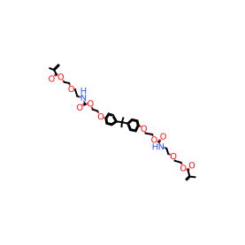 C=C(C)C(=O)OCCOCCNC(=O)OCCOc1ccc(C(C)(C)c2ccc(OCCOC(=O)NCCOCCOC(=O)C(=C)C)cc2)cc1